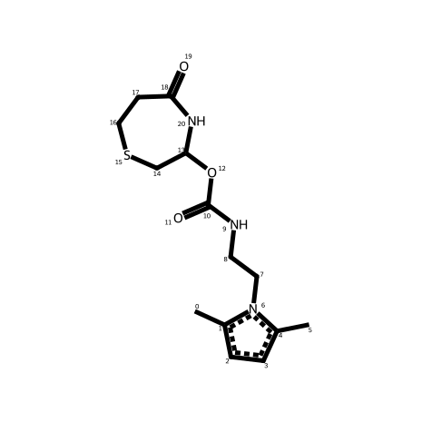 Cc1ccc(C)n1CCNC(=O)OC1CSCCC(=O)N1